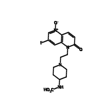 O=C(O)NC1CCN(CCn2c(=O)ccc3c2cc(F)c[n+]3[O-])CC1